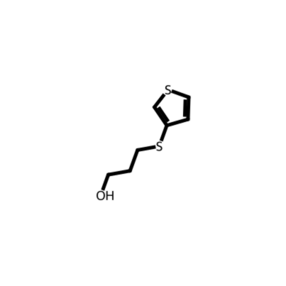 OCCCSc1ccsc1